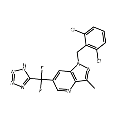 Cc1nn(Cc2c(Cl)cccc2Cl)c2cc(C(F)(F)c3nnn[nH]3)cnc12